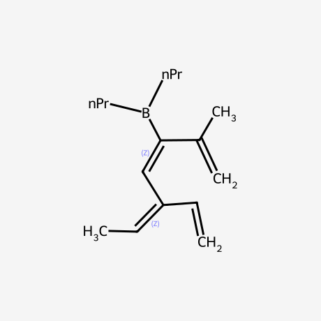 C=CC(=C/C)/C=C(/B(CCC)CCC)C(=C)C